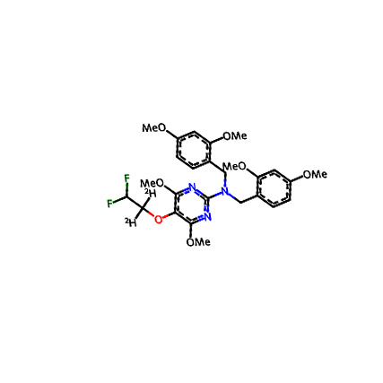 [2H]C([2H])(Oc1c(OC)nc(N(Cc2ccc(OC)cc2OC)Cc2ccc(OC)cc2OC)nc1OC)C(F)F